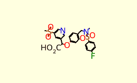 CN(Cc1ccc(OC(C(=O)O)c2cncc(S(C)(=O)=O)c2)cc1)S(=O)(=O)c1ccc(F)cc1